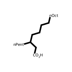 CCCCCCCCCCCCC(CCCCC)CC(=O)O